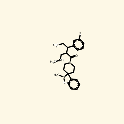 CCC(c1cccc(F)c1)C(CNC)C(=O)N1CCC(c2ccccc2)(N(C)C)CC1